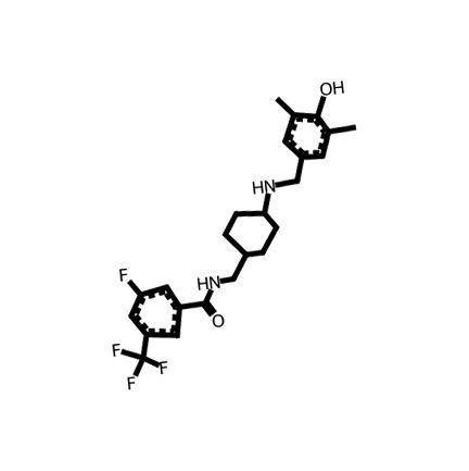 Cc1cc(CNC2CCC(CNC(=O)c3cc(F)cc(C(F)(F)F)c3)CC2)cc(C)c1O